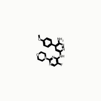 COc1ccc(-c2cc(Nc3nc(N4CCOCC4)ncc3F)nnc2N)cc1